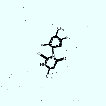 O=c1cc(C(F)(F)F)[nH]c(=O)n1-c1cc(F)c(C(F)(F)F)cc1F